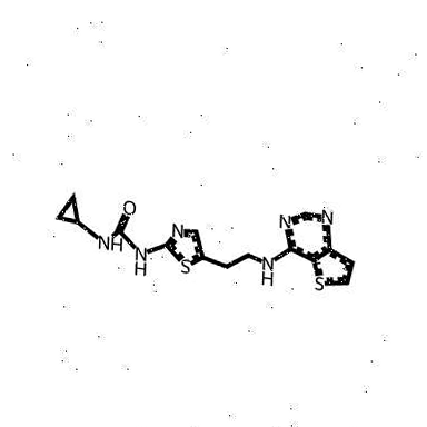 O=C(Nc1ncc(CCNc2ncnc3ccsc23)s1)NC1CC1